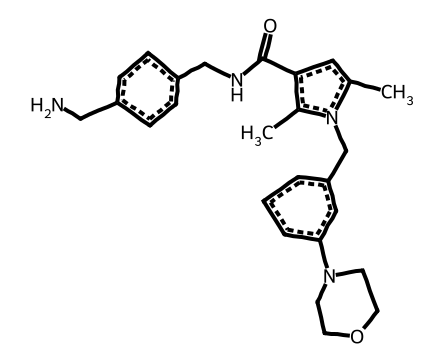 Cc1cc(C(=O)NCc2ccc(CN)cc2)c(C)n1Cc1cccc(N2CCOCC2)c1